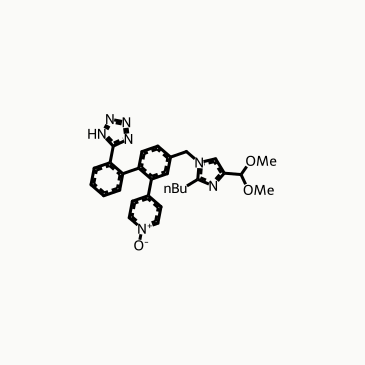 CCCCc1nc(C(OC)OC)cn1Cc1ccc(-c2ccccc2-c2nnn[nH]2)c(-c2cc[n+]([O-])cc2)c1